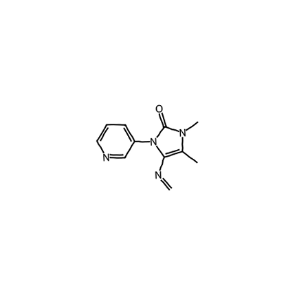 C=Nc1c(C)n(C)c(=O)n1-c1cccnc1